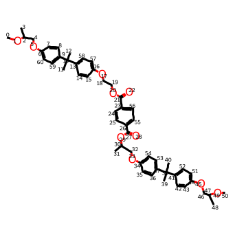 COC(C)COc1ccc(C(C)(C)c2ccc(OCCOC(=O)c3ccc(C(=O)OC(C)COc4ccc(C(C)(C)c5ccc(OCC(C)OC)cc5)cc4)cc3)cc2)cc1